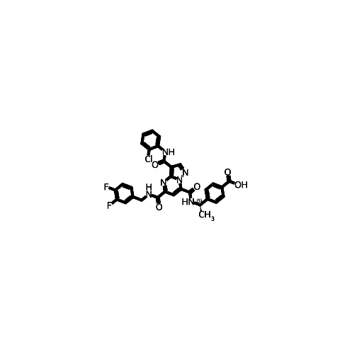 C[C@H](NC(=O)c1cc(C(=O)NCc2ccc(F)c(F)c2)nc2c(C(=O)Nc3ccccc3Cl)cnn12)c1ccc(C(=O)O)cc1